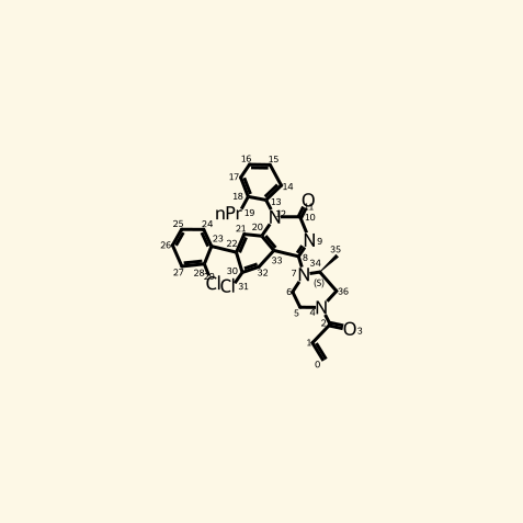 C=CC(=O)N1CCN(c2nc(=O)n(-c3ccccc3CCC)c3cc(-c4ccccc4Cl)c(Cl)cc23)[C@@H](C)C1